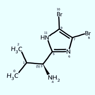 CC(C)[C@H](N)c1nc(Br)c(Br)[nH]1